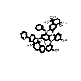 CC(C)(C)c1cccc(N2c3cc(C(C)(C)C)ccc3B3c4cc5c(cc4N(c4ccccc4)c4cc(N6c7ccc(-c8ccccn8)cc7C7(C)CCc8ccccc8C67C)cc2c43)C(C)(C)CCC5(C)C)c1